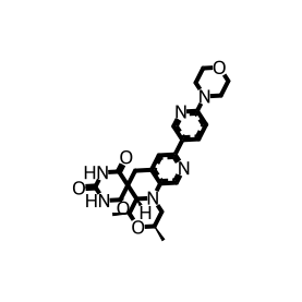 C[C@@H]1CN2c3cnc(-c4ccc(N5CCOCC5)nc4)cc3CC3(C(=O)NC(=O)NC3=O)[C@H]2[C@H](C)O1